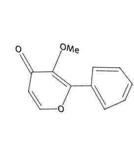 COc1c(-c2ccccc2)occc1=O